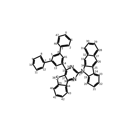 c1ccc(-c2cc(-c3ccccc3)cc(-c3nc(-n4c5ccccc5c5cc6ccccc6cc54)nc4c3sc3ccccc34)c2)cc1